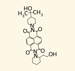 CC(C)(O)C1CCN(N2C(=O)c3ccc4c5c(ccc(c35)C2=O)C(=O)N(N2CCCCC2CCO)C4=O)CC1